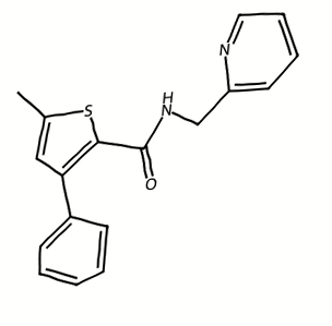 Cc1cc(-c2ccccc2)c(C(=O)NCc2ccccn2)s1